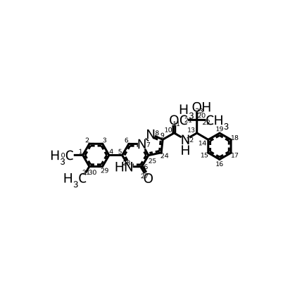 Cc1ccc(-c2cn3nc(C(=O)NC(c4ccccc4)C(C)(C)O)cc3c(=O)[nH]2)cc1C